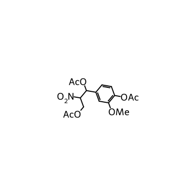 COc1cc(C(OC(C)=O)C(COC(C)=O)[N+](=O)[O-])ccc1OC(C)=O